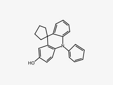 Oc1ccc2c(c1)C1(CCCC1)c1ccccc1N2c1ccccc1